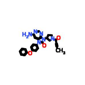 CC#CC(=O)N1CC[C@@H](n2c3c(n(-c4ccc(Oc5ccccc5)cc4)c2=O)=C=C(N)N=CN=3)C1